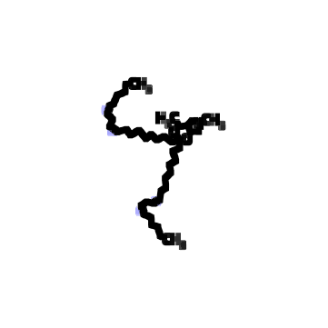 CCCCC/C=C\C/C=C\CCCCCCCCC1(CCCCCCCC/C=C\C/C=C\CCCCC)OC(C)C2CN(C)CC2O1